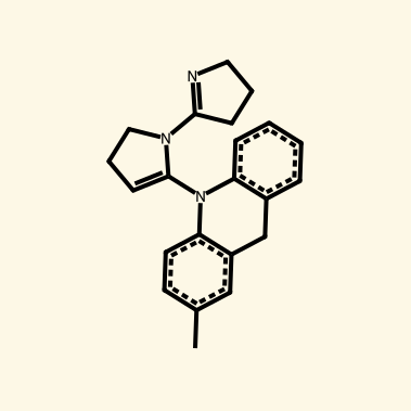 Cc1ccc2c(c1)Cc1ccccc1N2C1=CCCN1C1=NCCC1